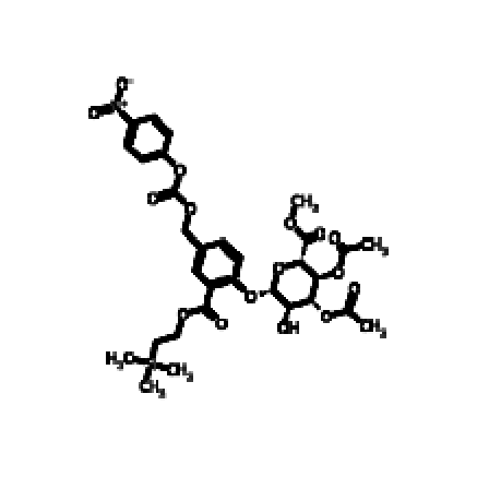 COC(=O)[C@H]1O[C@@H](Oc2ccc(COC(=O)Oc3ccc([N+](=O)[O-])cc3)cc2C(=O)OCC[Si](C)(C)C)[C@H](O)[C@@H](OC(C)=O)[C@@H]1OC(C)=O